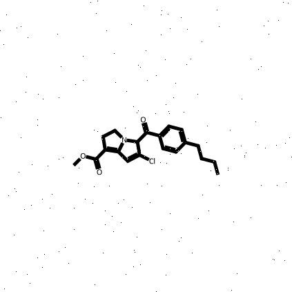 CCCCc1ccc(C(=O)C2C(Cl)=CC3=C(C(=O)OC)CCN32)cc1